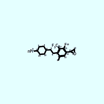 CCCC1CCC(CCc2c(C)cc(C3CO3)c(F)c2C(F)(F)F)CC1